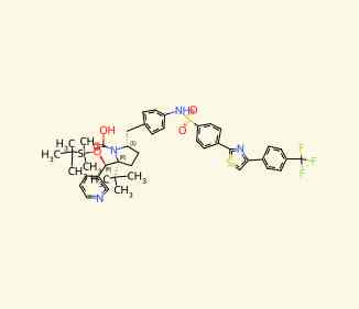 CC(C)(C)[C@@]1([C@H](O[Si](C)(C)C(C)(C)C)c2cccnc2)CC[C@@H](Cc2ccc(NS(=O)(=O)c3ccc(-c4nc(-c5ccc(C(F)(F)F)cc5)cs4)cc3)cc2)N1C(=O)O